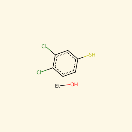 CCO.Sc1ccc(Cl)c(Cl)c1